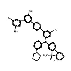 CC(C)(C)c1cc(-c2ccc(-c3cc(N(c4cccc(C5CCCCC5)c4)c4ccc5c(c4)C(C)(C)c4ccccc4-5)cc(C(C)(C)C)c3)cc2)cc(-c2cc(C(C)(C)C)cc(C(C)(C)C)c2)c1